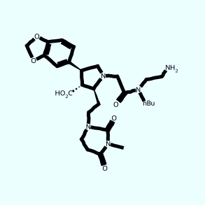 CCCCN(CCN)C(=O)CN1C[C@H](c2ccc3c(c2)OCO3)[C@@H](C(=O)O)[C@@H]1CCN1CCC(=O)N(C)C1=O